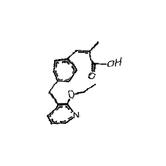 CCOc1ncccc1Cc1ccc(C=C(C)C(=O)O)cc1